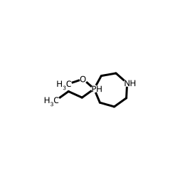 CCC[PH]1(OC)CCCNCC1